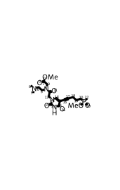 COC(=O)CN(CCN(C)C)C(=O)Cn1cc(C#CCCCP(C)(=O)OC)c(=O)[nH]c1=O